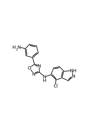 Nc1cccc(-c2nc(Nc3ccc4[nH]ncc4c3Cl)no2)c1